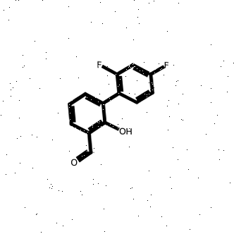 O=[C]c1cccc(-c2ccc(F)cc2F)c1O